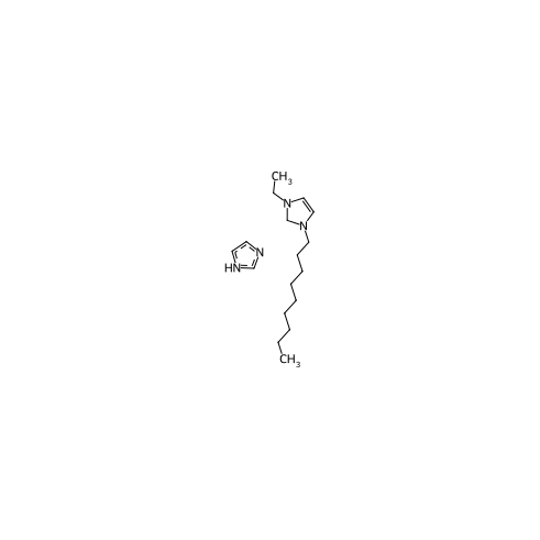 CCCCCCCCCN1C=CN(CC)C1.c1c[nH]cn1